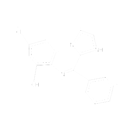 Cc1cc(Cl)ccc1N=C(c1ccccc1)c1ncc[nH]1